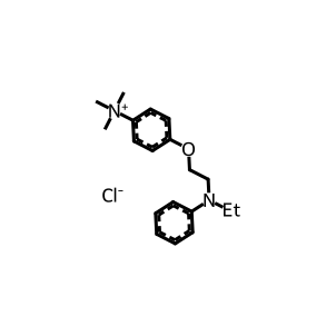 CCN(CCOc1ccc([N+](C)(C)C)cc1)c1ccccc1.[Cl-]